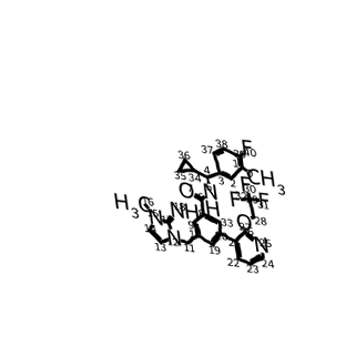 Cc1cc([C@@H](NC(=O)c2cc(Cn3ccn(C)c3=N)cc(-c3cccnc3OCC(F)(F)F)c2)C2CC2)ccc1F